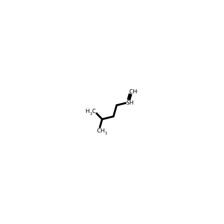 [CH]=[SH]CCC(C)C